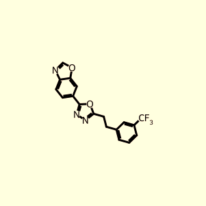 FC(F)(F)c1cccc(CCc2nnc(-c3ccc4ncoc4c3)o2)c1